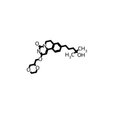 CC(C)(O)CCCc1ccc2c(c1)CCn1c-2cc(OCC2COCCO2)nc1=O